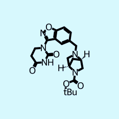 CC(C)(C)OC(=O)N1C[C@H]2C[C@@H]1CN2Cc1ccc2onc(N3CCC(=O)NC3=O)c2c1